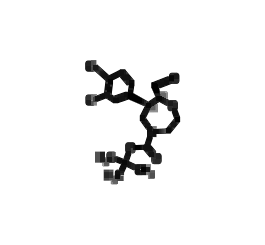 CC(C)(C)OC(=O)N1CCO[C@H](C=O)[C@H](c2ccc(Cl)c(Cl)c2)C1